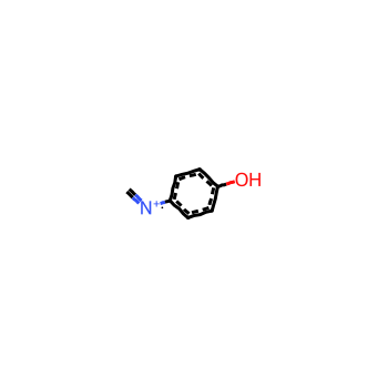 C=[N+]c1ccc(O)cc1